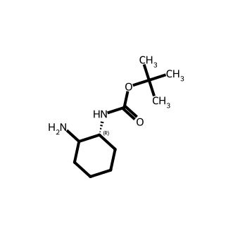 CC(C)(C)OC(=O)N[C@@H]1CCCCC1N